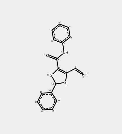 N=CC1=C(C(=O)Nc2ccccc2)SC(c2ccccc2)S1